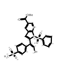 COC(=O)c1cnc2c(c1)cc(/C(=C/C(C)C)c1ccc(S(C)(=O)=O)cc1)n2S(=O)(=O)c1ccccc1